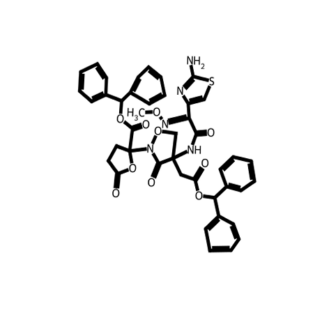 CON=C(C(=O)NC1(CC(=O)OC(c2ccccc2)c2ccccc2)CON(C2(C(=O)OC(c3ccccc3)c3ccccc3)CCC(=O)O2)C1=O)c1csc(N)n1